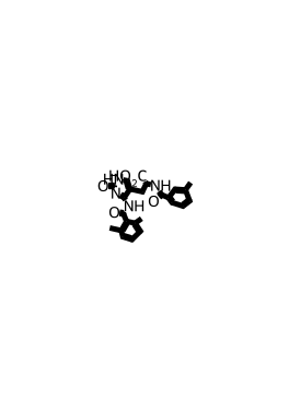 Cc1cccc(C(=O)NC(Cc2c[nH]c(=O)nc2NC(=O)c2c(C)cccc2C)C(=O)O)c1